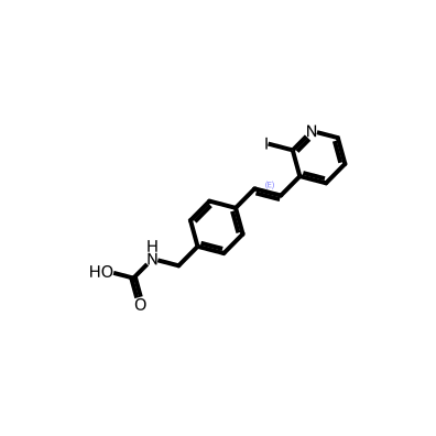 O=C(O)NCc1ccc(/C=C/c2cccnc2I)cc1